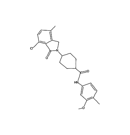 COc1cc(NC(=O)C2CCC(N3Cc4c(C)ccc(Cl)c4C3=O)CC2)ccc1C